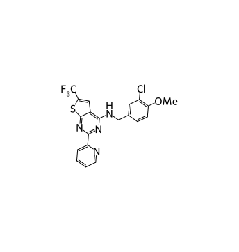 COc1ccc(CNc2nc(-c3ccccn3)nc3sc(C(F)(F)F)cc23)cc1Cl